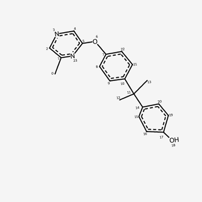 Cc1cncc(Oc2ccc(C(C)(C)c3ccc(O)cc3)cc2)n1